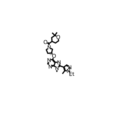 CCn1ncc(-c2nc3c(O[C@H]4CCN(C(=O)C5CCOC(C)(C)C5)C4)ncnc3n2C)c1C